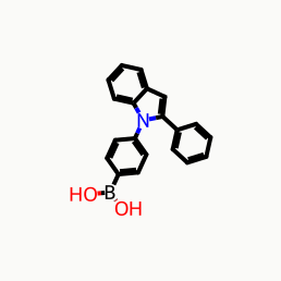 OB(O)c1ccc(-n2c(-c3ccccc3)cc3ccccc32)cc1